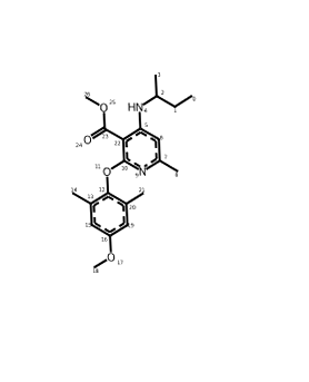 CCC(C)Nc1cc(C)nc(Oc2c(C)cc(OC)cc2C)c1C(=O)OC